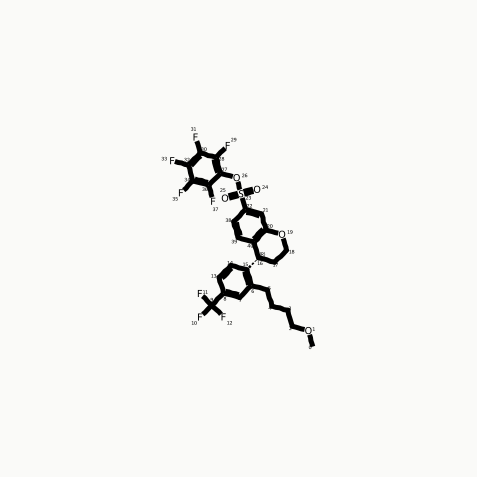 COCCCCc1cc(C(F)(F)F)ccc1[C@H]1CCOc2cc(S(=O)(=O)Oc3c(F)c(F)c(F)c(F)c3F)ccc21